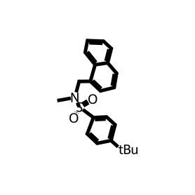 CN(Cc1cccc2ccccc12)S(=O)(=O)c1ccc(C(C)(C)C)cc1